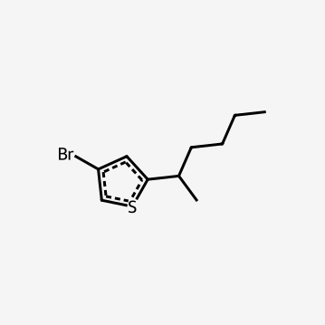 CCCCC(C)c1cc(Br)cs1